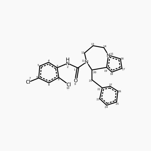 O=C(Nc1ccc(Cl)cc1Cl)N1CCCn2cccc2C1Cc1ccccc1